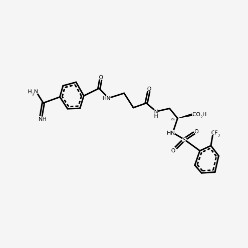 N=C(N)c1ccc(C(=O)NCCC(=O)NC[C@H](NS(=O)(=O)c2ccccc2C(F)(F)F)C(=O)O)cc1